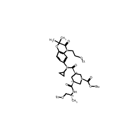 CCOCCN1C(=O)C(C)(C)Oc2ccc(N(C(=O)[C@@H]3C[C@H](C(=O)N[C@H](C)COCC)CN(C(=O)OC(C)(C)C)C3)C3CC3)cc21